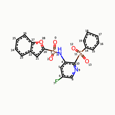 O=S(=O)(Nc1cc(F)cnc1S(=O)(=O)c1ccccc1)c1cc2ccccc2o1